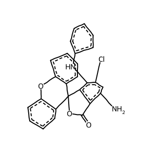 Nc1cc(Cl)c(Nc2ccccc2)c2c1C(=O)OC21c2ccccc2Oc2ccccc21